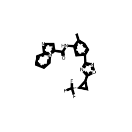 Cc1ccc(-c2noc(C3C[C@@H]3C(F)(F)F)n2)cc1NC(=O)c1cnc2ccccn12